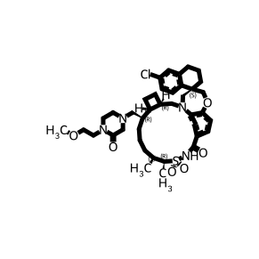 COCCN1CCN(C[C@@H]2CCC[C@H](C)[C@@H](C)S(=O)(=O)NC(=O)c3ccc4c(c3)N(C[C@@H]3CC[C@@H]23)C[C@@]2(CCCc3cc(Cl)ccc32)CO4)CC1=O